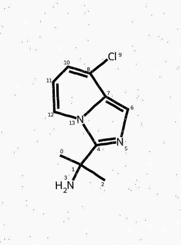 CC(C)(N)c1ncc2c(Cl)cccn12